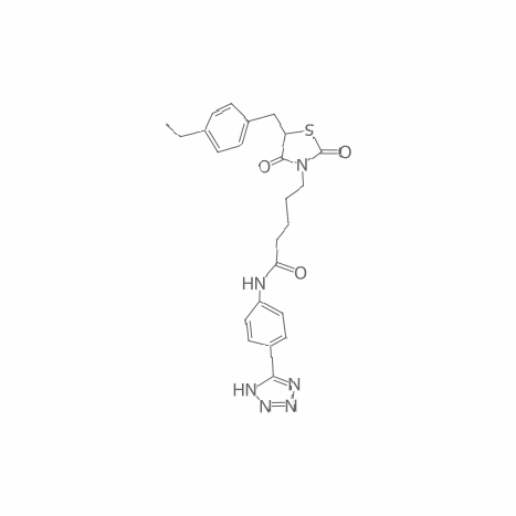 CCc1ccc(CC2SC(=O)N(CCCCC(=O)Nc3ccc(-c4nnn[nH]4)cc3)C2=O)cc1